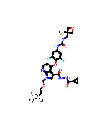 CC1(CNC(=O)Nc2cc(F)c(Oc3ccnc4c3c(C(=O)NNC(=O)C3CC3)cn4COCC[Si](C)(C)C)c(F)c2)COC1